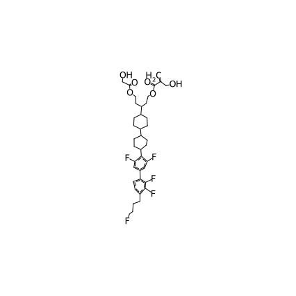 C=C(CO)C(=O)OCCC(CCOC(=O)CO)C1CCC(C2CCC(c3c(F)cc(-c4ccc(CCCCF)c(F)c4F)cc3F)CC2)CC1